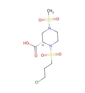 CS(=O)(=O)N1CCN(S(=O)(=O)CCCCl)[C@H](C(=O)O)C1